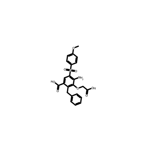 COc1ccc(S(=O)(=O)c2cc(C(=O)O)c(Cc3ccccc3)c(OCC(=O)O)c2N)cc1